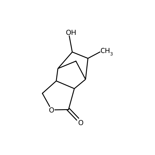 CC1C(O)C2CC1C1C(=O)OCC21